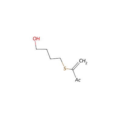 C=C(SCCCCO)C(C)=O